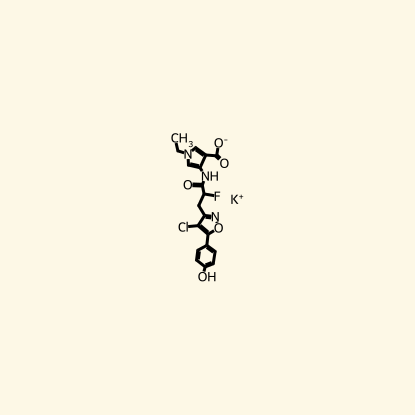 CCn1cc(NC(=O)C(F)Cc2noc(-c3ccc(O)cc3)c2Cl)c(C(=O)[O-])c1.[K+]